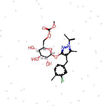 COC(=O)OC[C@H]1O[C@@H](Oc2nn(C(C)C)c(C)c2Cc2ccc(C)c(F)c2)[C@H](O)[C@@H](O)[C@@H]1O